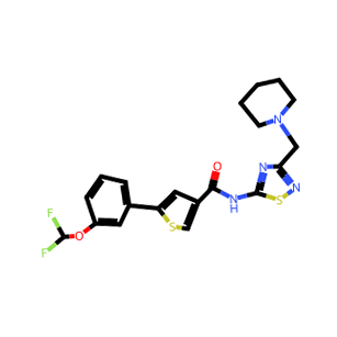 O=C(Nc1nc(CN2CCCCC2)ns1)c1csc(-c2cccc(OC(F)F)c2)c1